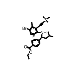 CCOC(=O)c1ccc(C(CC(C)C)Nc2c(F)cc(Br)c(C)c2C#CS(C)(C)C)cc1